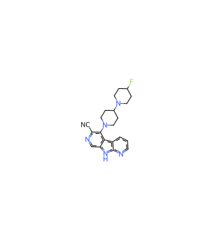 N#Cc1ncc2[nH]c3ncccc3c2c1N1CCC(N2CCC(F)CC2)CC1